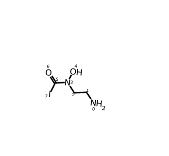 NCCN(O)C(=O)I